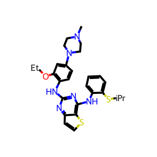 CCOc1cc(N2CCN(C)CC2)ccc1Nc1nc(Nc2ccccc2SC(C)C)c2sccc2n1